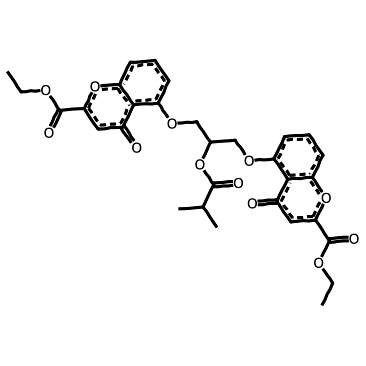 CCOC(=O)c1cc(=O)c2c(OCC(COc3cccc4oc(C(=O)OCC)cc(=O)c34)OC(=O)C(C)C)cccc2o1